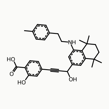 Cc1ccc(CCNc2cc(C(O)C#Cc3ccc(C(=O)O)c(O)c3)cc3c2C(C)(C)CCC3(C)C)cc1